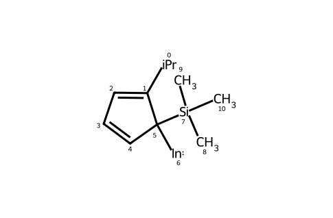 CC(C)C1=CC=C[C]1([In])[Si](C)(C)C